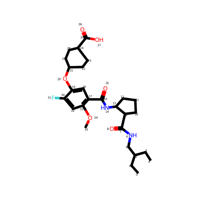 CCC(CC)CNC(=O)C1CCCC1NC(=O)c1cc(OC2CCC(C(=O)O)CC2)c(F)cc1OC